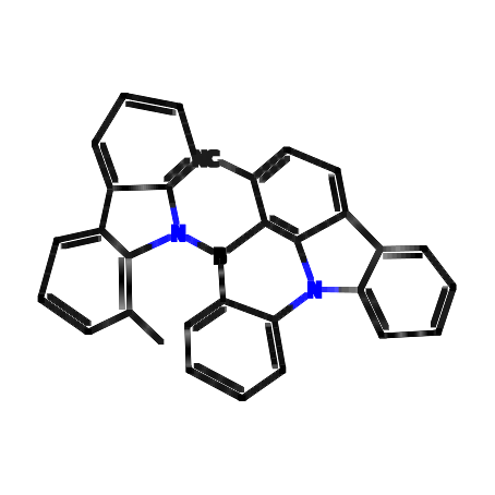 Cc1cccc2c3ccccc3n(B3c4ccccc4-n4c5ccccc5c5ccc(C#N)c3c54)c12